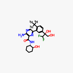 [2H]C([2H])([2H])c1ccc([C@](O)(CO)C(F)F)cc1-c1cnc(N)c(C(=O)N[C@H]2CCCC[C@@H]2O)n1